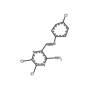 Nc1nc(Cl)c(Cl)nc1/C=N/c1ccc(Cl)cc1